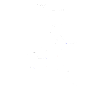 CCOC(=O)C(C)Oc1ccc2c(c1)c(-c1cc3cccnc3n1S(=O)(=O)c1ccc(C)cc1)cn2C